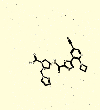 N#Cc1cnc(N2CCC2)c(-c2nnc(C(=O)N[C@@H]3C[C@@H](Cn4ccnn4)N(C(=O)O)C3)o2)c1